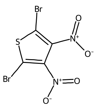 O=[N+]([O-])c1c(Br)sc(Br)c1[N+](=O)[O-]